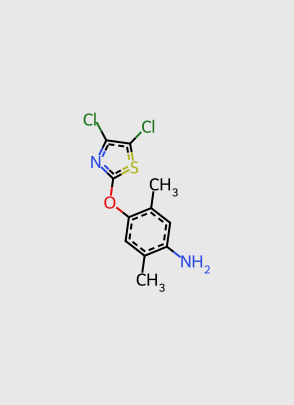 Cc1cc(Oc2nc(Cl)c(Cl)s2)c(C)cc1N